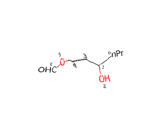 CCCC(O)CCOC=O